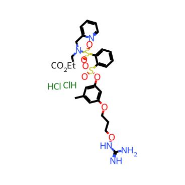 CCOC(=O)CN(Cc1ccccn1)S(=O)(=O)c1ccccc1S(=O)(=O)Oc1cc(C)cc(OCCCONC(=N)N)c1.Cl.Cl